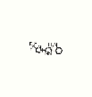 Nc1ccccc1-c1ccc(-n2ccc(C(F)(F)F)n2)nn1